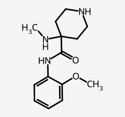 CNC1(C(=O)Nc2ccccc2OC)CCNCC1